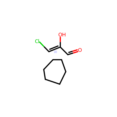 C1CCCCC1.O=C/C(O)=C/Cl